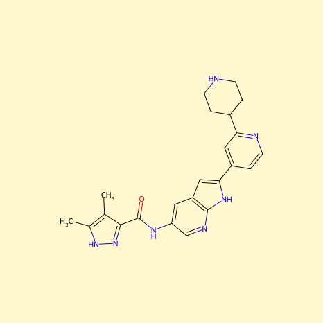 Cc1[nH]nc(C(=O)Nc2cnc3[nH]c(-c4ccnc(C5CCNCC5)c4)cc3c2)c1C